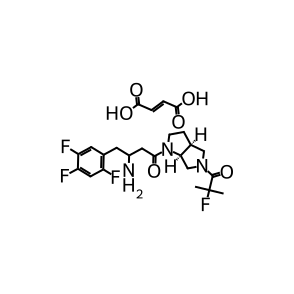 CC(C)(F)C(=O)N1C[C@@H]2CCN(C(=O)CC(N)Cc3cc(F)c(F)cc3F)[C@@H]2C1.O=C(O)C=CC(=O)O